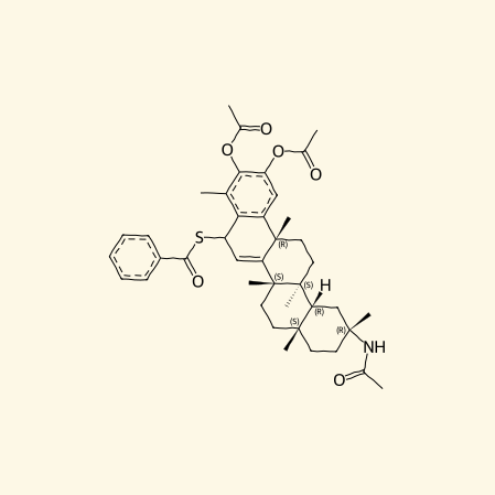 CC(=O)N[C@]1(C)CC[C@]2(C)CC[C@]3(C)C4=CC(SC(=O)c5ccccc5)c5c(cc(OC(C)=O)c(OC(C)=O)c5C)[C@]4(C)CC[C@@]3(C)[C@@H]2C1